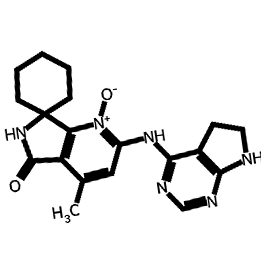 Cc1cc(Nc2ncnc3c2CCN3)[n+]([O-])c2c1C(=O)NC21CCCCC1